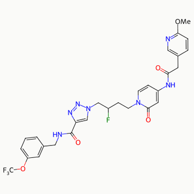 COc1ccc(CC(=O)Nc2ccn(CCC(F)Cn3cc(C(=O)NCc4cccc(OC(F)(F)F)c4)nn3)c(=O)c2)cn1